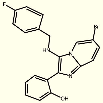 Oc1ccccc1-c1nc2ccc(Br)cn2c1NCc1ccc(F)cc1